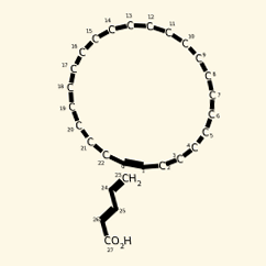 C1=CCCCCCCCCCCCCCCCCCCCCC1.C=CC=CC(=O)O